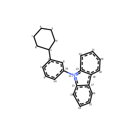 c1cc(C2CCCCC2)cc(-n2c3ccccc3c3ccccc32)c1